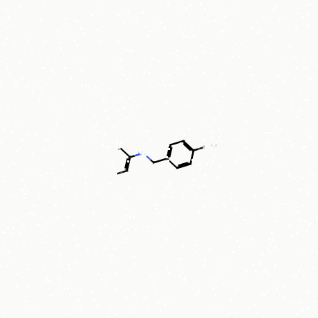 COc1ccc(CNC(C)=CC(=O)O)cc1